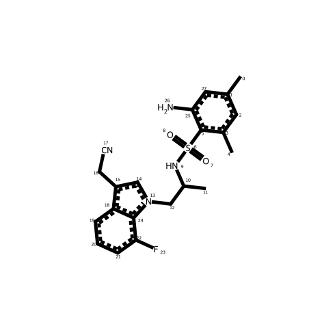 Cc1cc(C)c(S(=O)(=O)NC(C)Cn2cc(CC#N)c3cccc(F)c32)c(N)c1